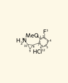 COc1c(F)cccc1C1CC1N.Cl